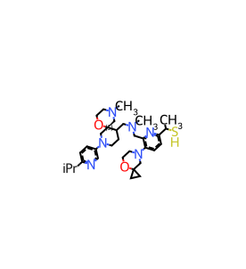 CC(C)c1ccc(N2CCC(CN(C)Cc3nc(C(C)S)ccc3N3CCOC4(CC4)C3)[C@]3(CN(C)CCO3)C2)cn1